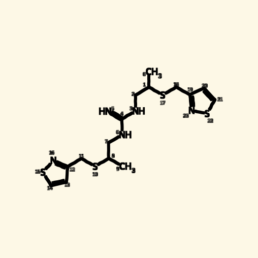 CC(CNC(=N)NCC(C)SCc1ccsn1)SCc1ccsn1